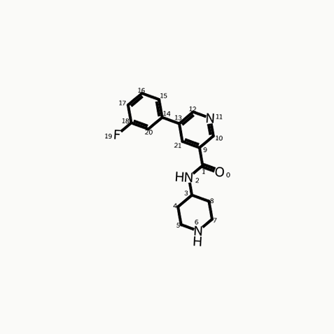 O=C(NC1CCNCC1)c1cncc(-c2cccc(F)c2)c1